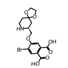 O=C(O)c1cc(Br)c(OC[C@@H]2CC3(CCN2)OCCO3)cc1C(=O)O